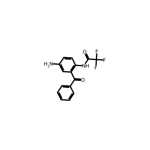 Nc1ccc(NC(=O)C(F)(F)F)c(C(=O)c2ccccc2)c1